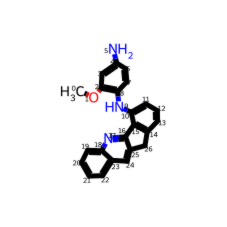 COc1cc(N)ccc1Nc1cccc2c1-c1nc3ccccc3cc1C2